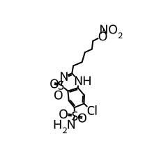 NS(=O)(=O)c1cc2c(cc1Cl)NC(CCCCCO[N+](=O)[O-])=NS2(=O)=O